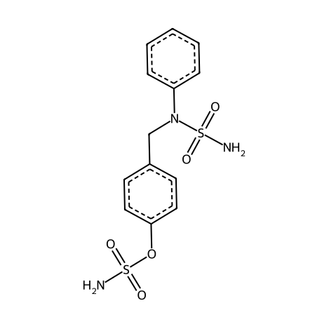 NS(=O)(=O)Oc1ccc(CN(c2ccccc2)S(N)(=O)=O)cc1